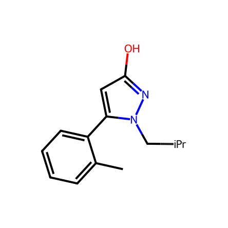 Cc1ccccc1-c1cc(O)nn1CC(C)C